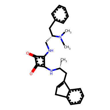 C[C@H](CC1=CCc2ccccc21)Nc1c(NC[C@H](Cc2ccccc2)N(C)C)c(=O)c1=O